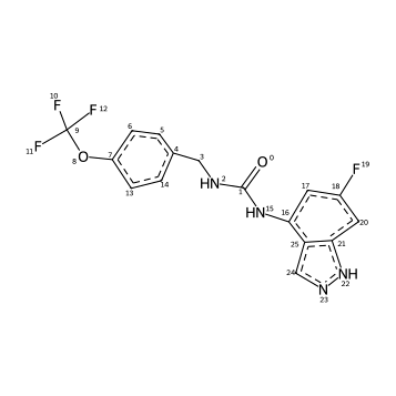 O=C(NCc1ccc(OC(F)(F)F)cc1)Nc1cc(F)cc2[nH]ncc12